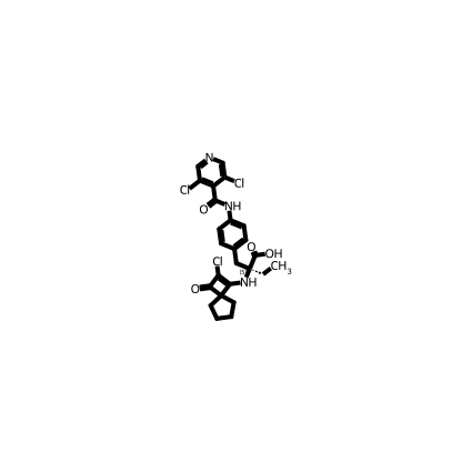 CC[C@@](Cc1ccc(NC(=O)c2c(Cl)cncc2Cl)cc1)(NC1=C(Cl)C(=O)C12CCCC2)C(=O)O